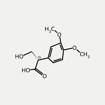 COc1ccc([C@@H](CO)C(=O)O)cc1OC